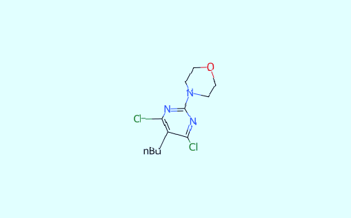 CCCCc1c(Cl)nc(N2CCOCC2)nc1Cl